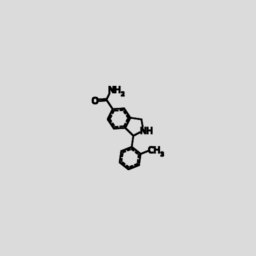 Cc1ccccc1C1NCc2cc(C(N)=O)ccc21